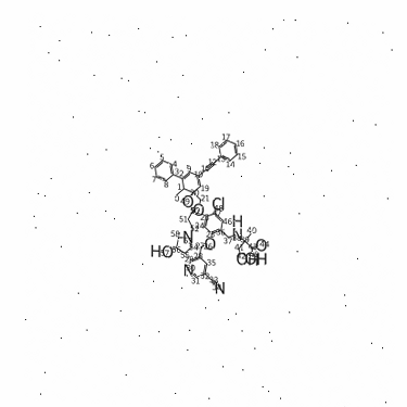 CC1C(c2ccccc2)=CC(C#Cc2ccccc2)=CC1(COc1cc(OCc2cncc(C#N)c2)c(CNC(C)(CO)C(=O)O)cc1Cl)OCCCN1CC[C@@H](O)C1